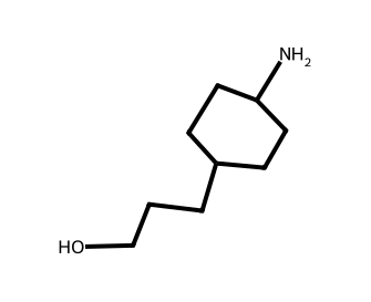 NC1CCC(CCCO)CC1